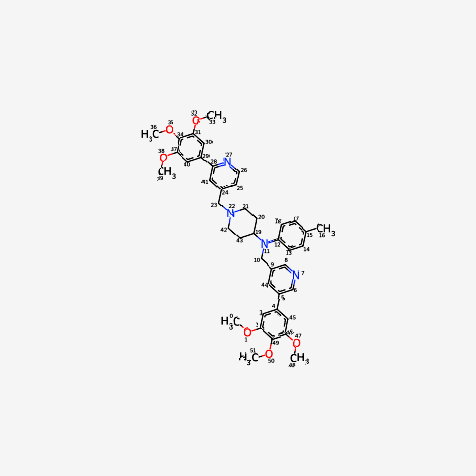 COc1cc(-c2cncc(CN(c3ccc(C)cc3)C3CCN(Cc4ccnc(-c5cc(OC)c(OC)c(OC)c5)c4)CC3)c2)cc(OC)c1OC